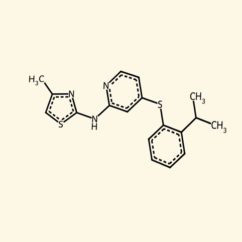 Cc1csc(Nc2cc(Sc3ccccc3C(C)C)ccn2)n1